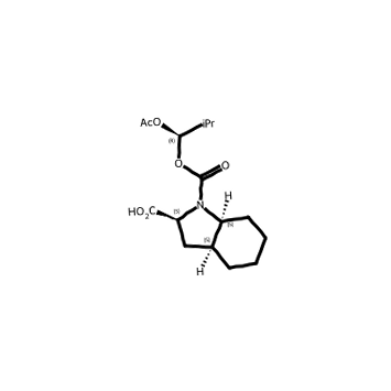 CC(=O)O[C@H](OC(=O)N1[C@H](C(=O)O)C[C@@H]2CCCC[C@@H]21)C(C)C